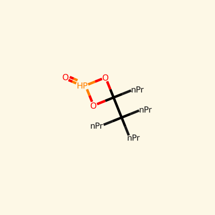 CCCC(CCC)(CCC)C1(CCC)O[PH](=O)O1